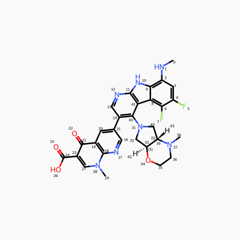 CNc1cc(F)c(F)c2c1[nH]c1ncc(-c3cnc4c(c3)c(=O)c(C(=O)O)cn4C)c(N3C[C@@H]4OCCN(C)[C@H]4C3)c12